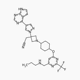 CCCNCc1cc(OC2CCC(N3CC(CC#N)(n4cc(-c5ncnc6[nH]ccc56)cn4)C3)CC2)nc(C(F)(F)F)n1